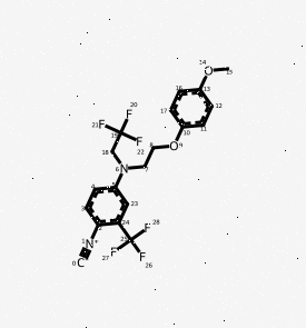 [C-]#[N+]c1ccc(N(CCOc2ccc(OC)cc2)CC(F)(F)F)cc1C(F)(F)F